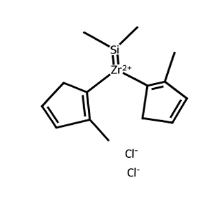 CC1=[C]([Zr+2]([C]2=C(C)C=CC2)=[Si](C)C)CC=C1.[Cl-].[Cl-]